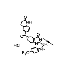 CC#CCn1c(N[C@@H](C)c2ccc(C(F)(F)F)cc2)nc2c(c1=O)CN(C(=O)c1ccc3c(c1)CCC(=O)N3)CC2.Cl